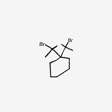 CC(C)(Br)C1(C(C)(C)Br)CCCCC1